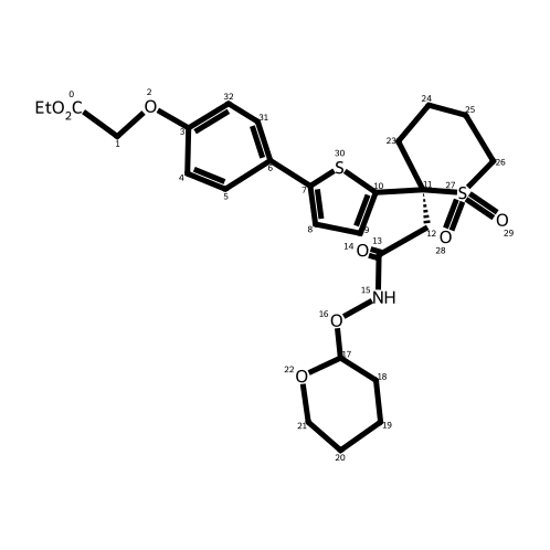 CCOC(=O)COc1ccc(-c2ccc([C@@]3(CC(=O)NOC4CCCCO4)CCCCS3(=O)=O)s2)cc1